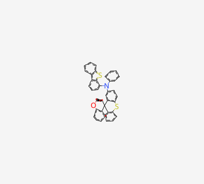 c1ccc(N(c2ccc3c(c2)C2(c4ccccc4Oc4ccccc42)c2ccccc2S3)c2cccc3c2sc2ccccc23)cc1